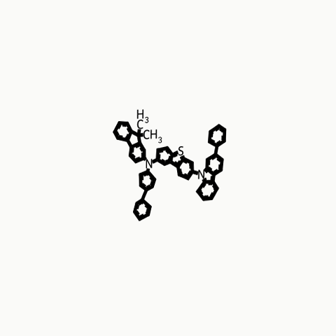 CC1(C)c2ccccc2-c2ccc(N(c3ccc(-c4ccccc4)cc3)c3ccc4sc5cc(-n6c7ccccc7c7ccc(-c8ccccc8)cc76)ccc5c4c3)cc21